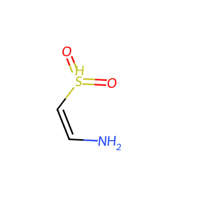 N/C=C\[SH](=O)=O